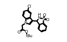 CC(C)(C)OC(=O)Cn1cc(C2NS(=O)(=O)c3ccccc32)c2cc(Cl)ccc21